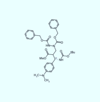 COC(=O)C(CN(NC(=O)OCc1ccccc1)C(=O)OCc1ccccc1)[C@H](NC(=O)OC(C)(C)C)c1ccc(N(C)C)cc1